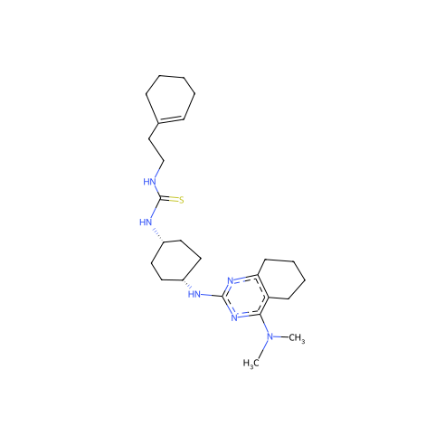 CN(C)c1nc(N[C@H]2CC[C@@H](NC(=S)NCCC3=CCCCC3)CC2)nc2c1CCCC2